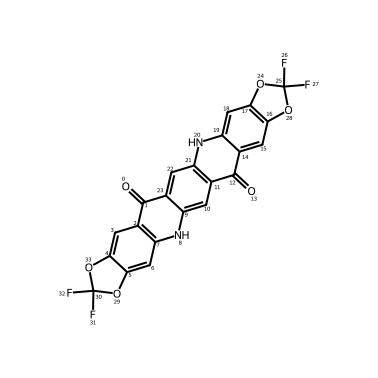 O=c1c2cc3c(cc2[nH]c2cc4c(=O)c5cc6c(cc5[nH]c4cc12)OC(F)(F)O6)OC(F)(F)O3